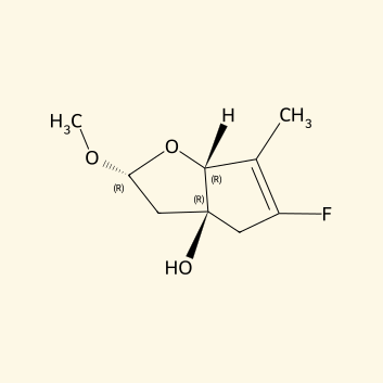 CO[C@H]1C[C@@]2(O)CC(F)=C(C)[C@H]2O1